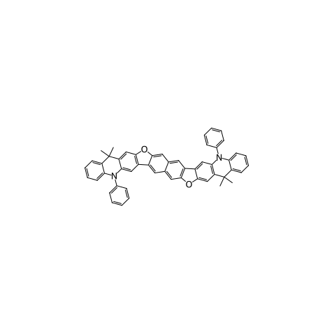 CC1(C)c2ccccc2N(c2ccccc2)c2cc3c(cc21)oc1cc2cc4c(cc2cc13)oc1cc2c(cc14)N(c1ccccc1)c1ccccc1C2(C)C